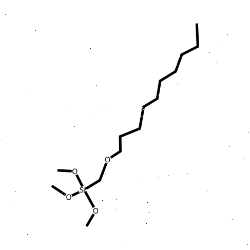 CCCCCCCCCCOC[Si](OC)(OC)OC